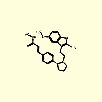 COc1ccc2[nH]c(C)c(CCN3CCC[C@H]3c3ccc(C=CC(=O)NO)cc3)c2c1